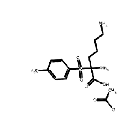 CC(=O)Cl.Cc1ccc(S(=O)(=O)C(N)(CCCCN)C(=O)O)cc1